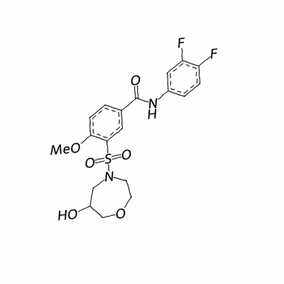 COc1ccc(C(=O)Nc2ccc(F)c(F)c2)cc1S(=O)(=O)N1CCOCC(O)C1